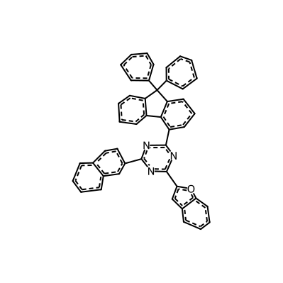 c1ccc(C2(c3ccccc3)c3ccccc3-c3c(-c4nc(-c5ccc6ccccc6c5)nc(-c5cc6ccccc6o5)n4)cccc32)cc1